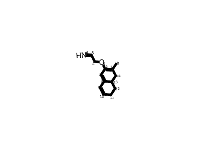 CC1=C(OCC=N)C=C2C=CCCC2C1